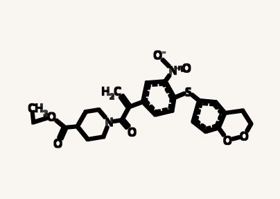 C=C(C(=O)N1CCC(C(=O)OCC)CC1)c1ccc(Sc2ccc3c(c2)CCOO3)c([N+](=O)[O-])c1